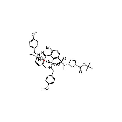 COc1ccc(CN(Cc2ccc(OC)cc2)S(=O)(=O)c2c(S(=O)(=O)N[C@@H]3CCN(C(=O)OC(C)(C)C)C3)ccc(Br)c2-c2nnn(Cc3ccc(OC)cc3)n2)cc1